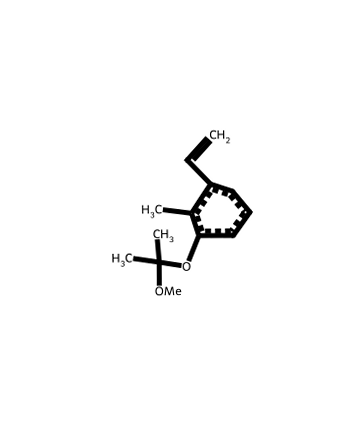 C=Cc1cccc(OC(C)(C)OC)c1C